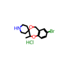 CC1Oc2ccc(Br)cc2COC12CCNCC2.Cl